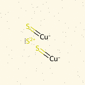 [S+2].[S]=[Cu-].[S]=[Cu-]